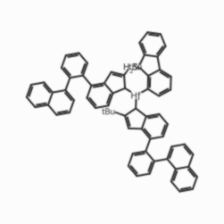 CC(C)(C)C1=Cc2c(-c3ccccc3-c3cccc4ccccc34)cccc2[CH]1[Hf]([c]1cccc2c1[SiH2]c1ccccc1-2)[CH]1C(C(C)(C)C)=Cc2c(-c3ccccc3-c3cccc4ccccc34)cccc21